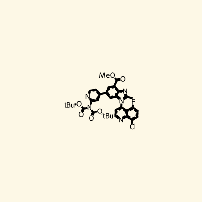 COC(=O)c1cc(-c2ccnc(N(C(=O)OC(C)(C)C)C(=O)OC(C)(C)C)c2)cc2c1nc(C)n2-c1ccnc2c(Cl)ccc(F)c12